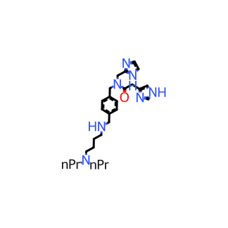 CCCN(CCC)CCCCNCc1ccc(CN(Cc2ncc[nH]2)C(=O)Cc2c[nH]cn2)cc1